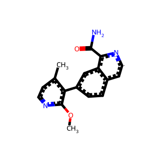 COc1nccc(C)c1-c1ccc2c[c]nc(C(N)=O)c2c1